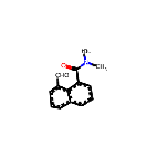 CN(C(=O)c1cccc2cccc(C=O)c12)C(C)(C)C